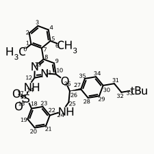 Cc1cccc(C)c1-c1cc2nc(n1)NS(=O)(=O)c1cccc(c1)NC[C@H](c1ccc(CCC(C)(C)C)cc1)O2